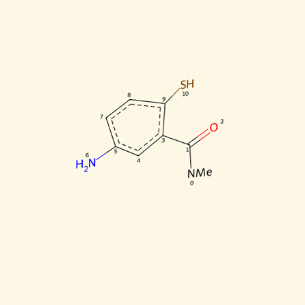 CNC(=O)c1cc(N)ccc1S